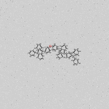 c1ccc(-c2c3ccccc3c(-c3ccc4c(c3)oc3ccc(-c5c6ccccc6c(-c6ccc7c(c6)-c6ccccc6C7c6ccccc6)c6ccccc56)cc34)c3ccccc23)cc1